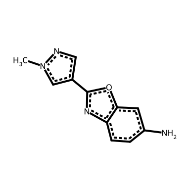 Cn1cc(-c2nc3ccc(N)cc3o2)cn1